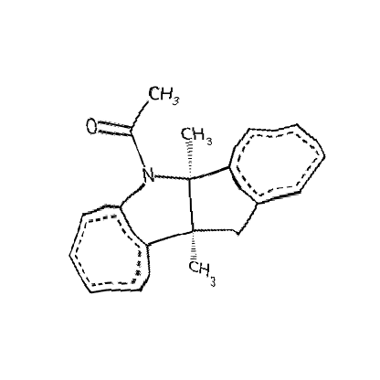 CC(=O)N1c2ccccc2[C@]2(C)Cc3ccccc3[C@]12C